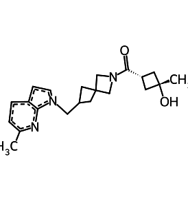 Cc1ccc2ccn(CC3CC4(C3)CN(C(=O)[C@H]3C[C@@](C)(O)C3)C4)c2n1